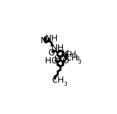 CCCCCc1cc(O)c2c(c1)OC(C)(C)[C@@H]1CC=C(C(=O)NCCc3cnc[nH]3)C[C@@H]21